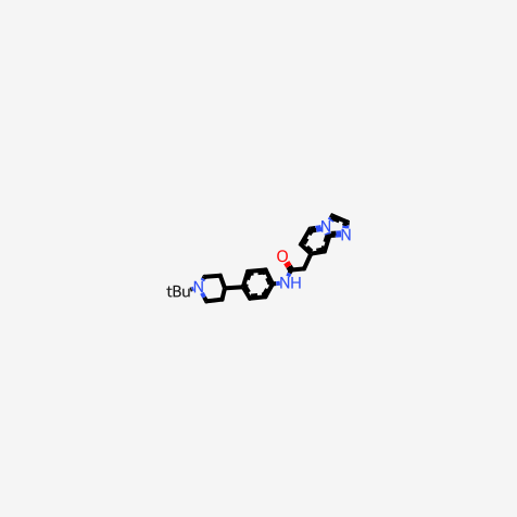 CC(C)(C)N1CCC(c2ccc(NC(=O)Cc3ccn4ccnc4c3)cc2)CC1